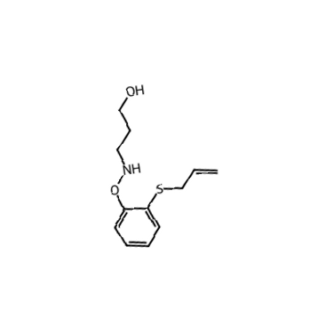 C=CCSc1ccccc1ONCCCO